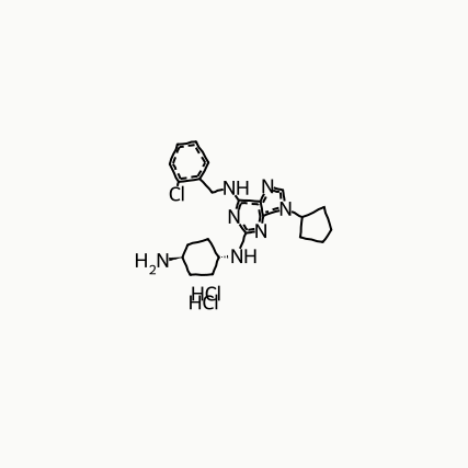 Cl.Cl.N[C@H]1CC[C@H](Nc2nc(NCc3ccccc3Cl)c3ncn(C4CCCC4)c3n2)CC1